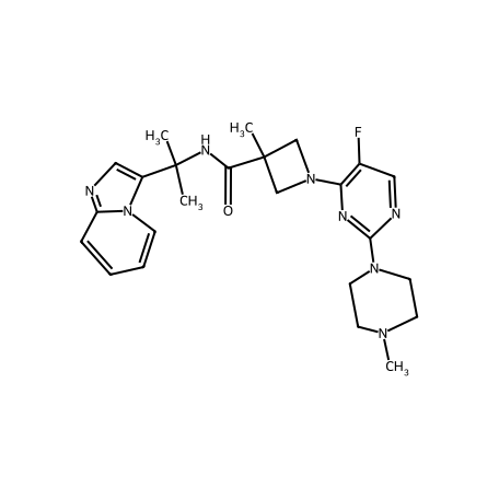 CN1CCN(c2ncc(F)c(N3CC(C)(C(=O)NC(C)(C)c4cnc5ccccn45)C3)n2)CC1